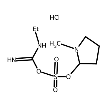 CCNC(=N)OS(=O)(=O)OC1CCCN1C.Cl